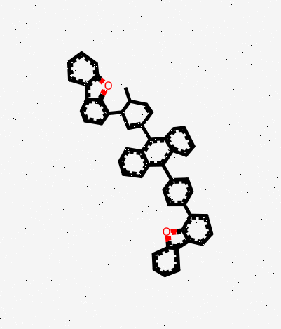 CC1C=CC(c2c3ccccc3c(-c3ccc(-c4cccc5c4oc4ccccc45)cc3)c3ccccc23)=CC1c1cccc2c1oc1ccccc12